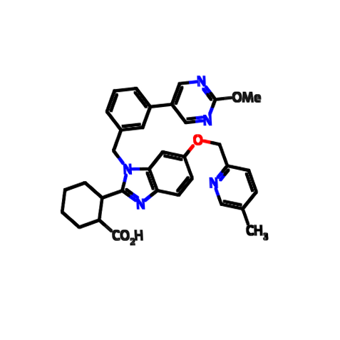 COc1ncc(-c2cccc(Cn3c(C4CCCCC4C(=O)O)nc4ccc(OCc5ccc(C)cn5)cc43)c2)cn1